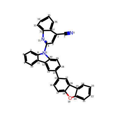 N#Cc1cc(-n2c3ccccc3c3cc(-c4ccc5oc6ccccc6c5c4)ccc32)nc2ccccc12